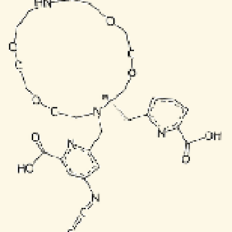 O=C(O)c1cccc(C[C@H]2COCCOCCNCCOCCOCCN2Cc2cc(N=C=S)cc(C(=O)O)n2)n1